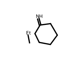 CCC.N=C1CCCCC1